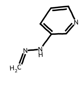 C=NNc1cccnc1